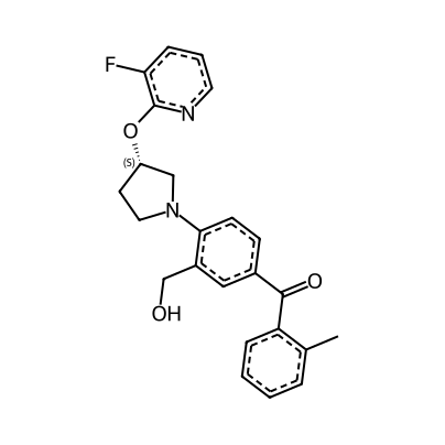 Cc1ccccc1C(=O)c1ccc(N2CC[C@H](Oc3ncccc3F)C2)c(CO)c1